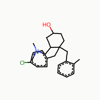 Cc1ccccc1CC1(Cc2ccc(Cl)cc2)CCC(O)CC1CN(C)C